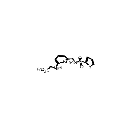 O=C(O)CNc1cccc(CNS(=O)(=O)c2cccs2)n1